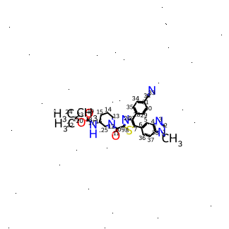 Cn1cnc2cc(-c3sc(C(=O)N4CCC[C@@H](NC(=O)OC(C)(C)C)C4)nc3-c3ccc(C#N)cc3)ccc21